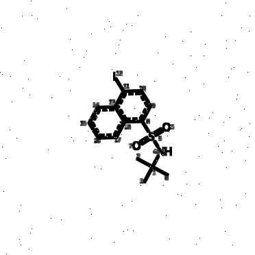 CC(C)(C)NS(=O)(=O)c1ccc(I)c2ccccc12